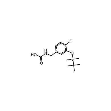 CC(C)(C)[Si](C)(C)Oc1cc(CNC(=O)O)ccc1F